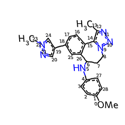 COc1ccc(NC2CCn3nnc(C)c3-c3ccc(-c4cnn(C)c4)cc32)cc1